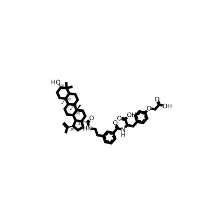 C=C(C)[C@@H]1CC[C@]2(C(=O)NCCc3cccc(C(=O)NC(Cc4ccc(OCC(=O)O)cc4)C(=O)O)c3)CC[C@]3(C)C(CCC4[C@@]5(C)CC[C@H](O)C(C)(C)C5CC[C@]43C)C12